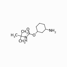 CC(C)(C)NC(=O)OC1CCCC(N)C1